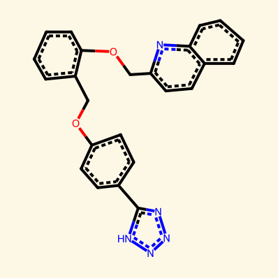 c1ccc(OCc2ccc3ccccc3n2)c(COc2ccc(-c3nnn[nH]3)cc2)c1